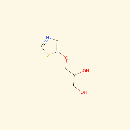 OCC(O)COc1cncs1